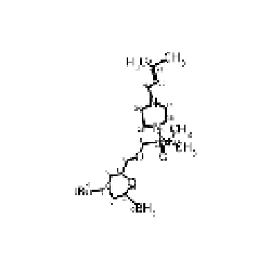 BC1CN(C(C)(C)C)CC(COCP(=O)(N(C)C)N2CCN(CC=C(C)C)CC2)O1